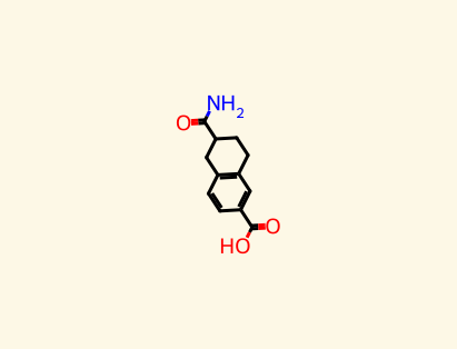 NC(=O)C1CCc2cc(C(=O)O)ccc2C1